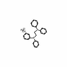 CCl.[Pd].c1ccc(P(CCP(c2ccccc2)c2ccccc2)c2ccccc2)cc1